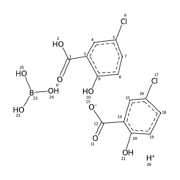 O=C(O)c1cc(Cl)ccc1O.O=C([O-])c1cc(Cl)ccc1O.OB(O)O.[H+]